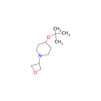 CC(C)(C)OC1CCN(C2COC2)CC1